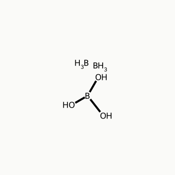 B.B.OB(O)O